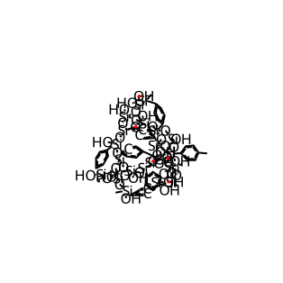 Cc1ccc([Si]2(O)O[Si]3(O)O[Si]45O[Si]6(O)O[Si](O)(O[Si]7(O6)O[Si]6(O)O[Si]89O[Si](O)(O)O[Si]%10%11O[Si](O)(O[Si](C)(O[Si](O)(O)c%12ccc(cc%12)[Si](C)(O)O[Si](O)(O[Si](C)(O)c%12ccc6cc%12)O8)O[Si](C)(O[Si](C)(C)O[Si]%10(O2)O[Si](O3)(O4)c2ccc7cc2)c2ccc%11cc2)c2ccc9cc2)O[Si](O)(O)[Si](C)(C)c2ccc5cc2)cc1